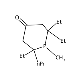 CCCC1(CC)CC(=O)CC(CC)(CC)P1C